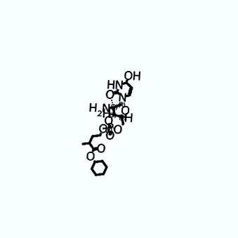 CC(CCO[P@]1(=O)OC[C@H]2O[C@@H](N3C=CC(O)NC3=O)[C@](C)(N)[C@@H]2O1)C(=O)OC1CCCCC1